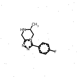 C[C@H]1Cn2c(nnc2-c2ccc(F)cc2)CN1